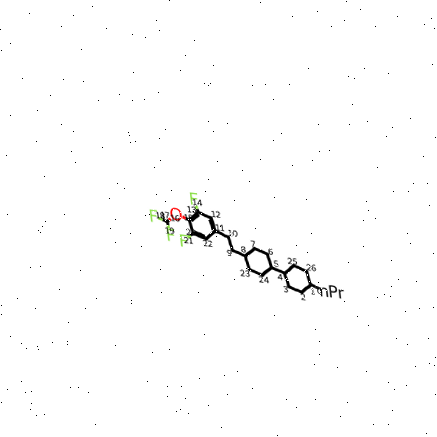 CCCC1CCC(C2CCC(CCc3cc(F)c(OC(F)F)c(F)c3)CC2)CC1